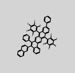 Fc1c(F)c(F)c(-c2c3cc(-c4ccccc4)ccc3c(-c3c(F)c(F)c(F)c(F)c3F)c3cc4c(cc23)c(-c2ccccc2)c(-c2ccc3ccccc3c2)c2ccccc24)c(F)c1F